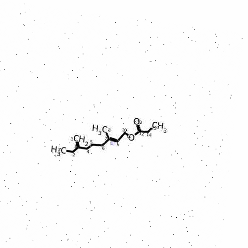 C=C(CC)CCC/C(C)=C/COC(=O)CC